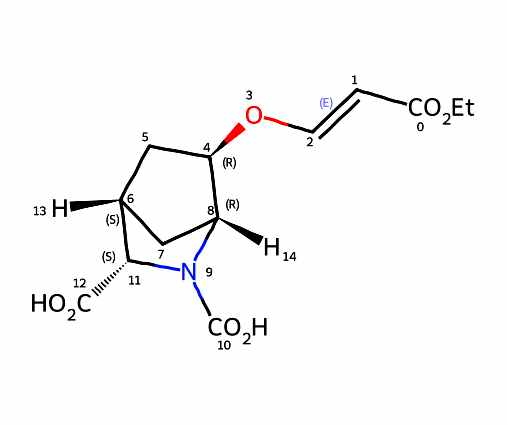 CCOC(=O)/C=C/O[C@@H]1C[C@@H]2C[C@H]1N(C(=O)O)[C@@H]2C(=O)O